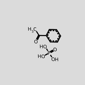 CC(=O)c1ccccc1.O=P(O)(O)O